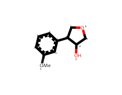 COc1cccc(C2COCC2O)c1